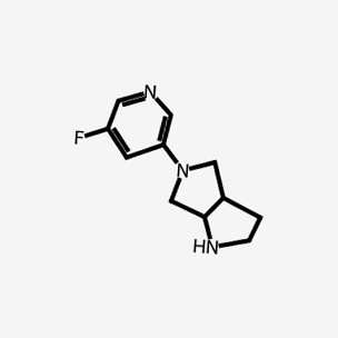 Fc1cncc(N2CC3CCNC3C2)c1